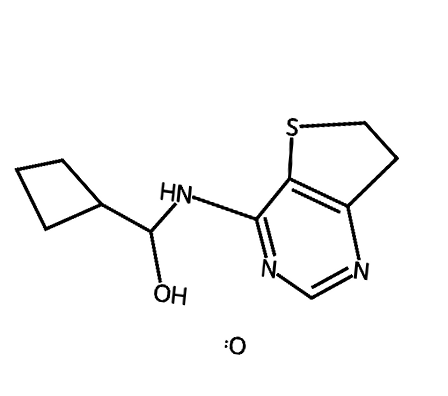 OC(Nc1ncnc2c1SCC2)C1CCC1.[O]